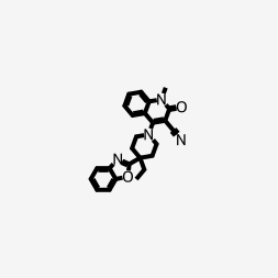 CCC1(c2nc3ccccc3o2)CCN(c2c(C#N)c(=O)n(C)c3ccccc23)CC1